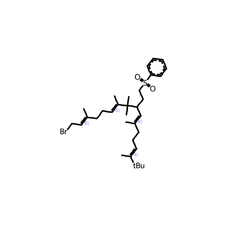 C/C(=C\CBr)CC/C=C(\C)C(C)(C)C(/C=C(\C)CC/C=C(\C)C(C)(C)C)CCS(=O)(=O)c1ccccc1